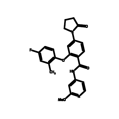 COc1cc(NC(=O)c2ccc(N3CCCC3=O)cc2Oc2ccc(F)cc2C)ccn1